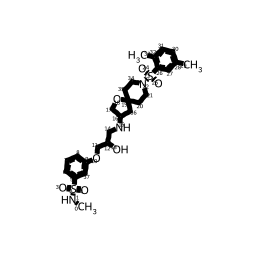 CNS(=O)(=O)c1cccc(OCC(O)CNC2COC3(CCN(S(=O)(=O)c4cc(C)ccc4C)CC3)C2)c1